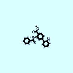 COC(=O)c1ccc(-c2ccccc2Cl)cc1NC(=S)c1ccccc1